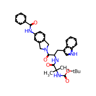 CC(C)(C)OC(=O)NC(C)(C)C(=O)NC(Cc1c[nH]c2ccccc12)C(=O)N1Cc2ccc(NC(=O)c3ccccc3)cc2C1